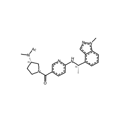 CC(=O)N(C)[C@H]1CCN(C(=O)c2ccc(N[C@@H](C)c3cccc4c3cnn4C)nc2)C1